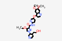 CCOc1cn(-c2cnccc2CCO)nc1C(=O)Nc1ccc(Oc2ccnc3cc(OC)c(OC)cc23)cn1